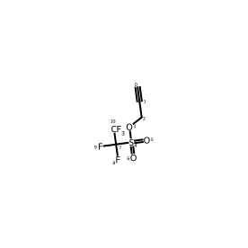 C#CCOS(=O)(=O)C(F)(F)C(F)(F)F